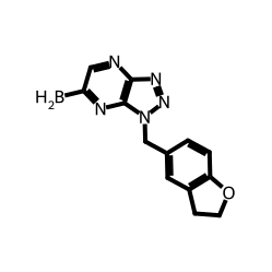 Bc1cnc2nnn(Cc3ccc4c(c3)CCO4)c2n1